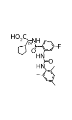 Cc1cc(C)c(NC(=O)Nc2cc(F)ccc2C(=O)N[C@H](C(=O)O)C2CCCC2)c(C)c1